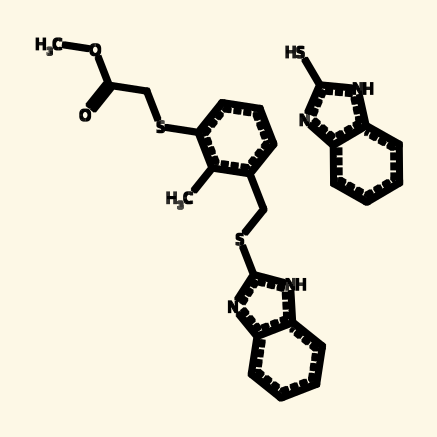 COC(=O)CSc1cccc(CSc2nc3ccccc3[nH]2)c1C.Sc1nc2ccccc2[nH]1